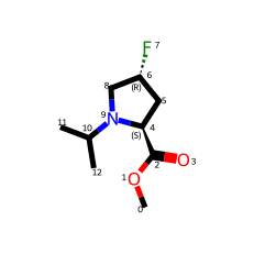 COC(=O)[C@@H]1C[C@@H](F)CN1C(C)C